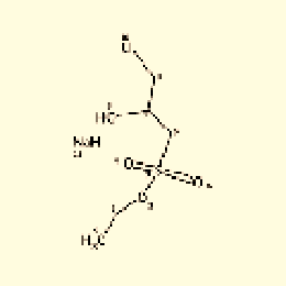 CCOS(=O)(=O)CC(O)CCl.[NaH]